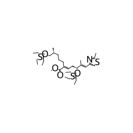 CC[Si](CC)(CC)OC[C@@H](C)CCC/C(=C\C[C@H](O[Si](CC)(CC)CC)/C(C)=C/c1csc(C)n1)C(=O)OC